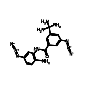 [N-]=[N+]=Nc1cc(C(=O)Nc2cc(N=[N+]=[N-])ccc2N)cc(C(N)(N)N)c1